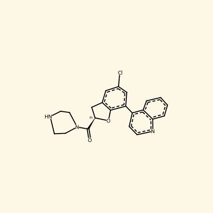 O=C([C@H]1Cc2cc(Cl)cc(-c3ccnc4ccccc34)c2O1)N1CCNCC1